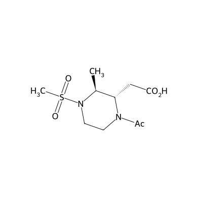 CC(=O)N1CCN(S(C)(=O)=O)[C@@H](C)[C@@H]1CC(=O)O